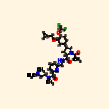 CC(=O)N1CC(c2ccc(OC(F)F)c(OCC3CC3)c2)C[C@@H]1C(=O)NCc1cccc(C(=O)N(C)CCN(C)C)n1